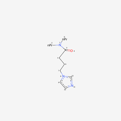 CCCN(CCC)C(=O)CCCn1c[c]nc1